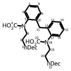 CCCCCCCCCCCCN(C(=O)O)c1ccccc1Cc1ccccc1N(CCCCCCCCCCCC)C(=O)O